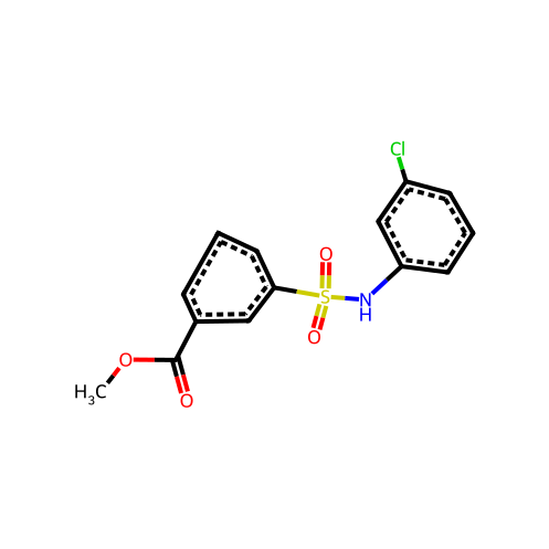 COC(=O)c1cccc(S(=O)(=O)Nc2cccc(Cl)c2)c1